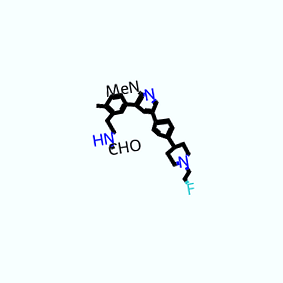 CNc1ncc(-c2ccc(C3CCN(CCF)CC3)cc2)cc1-c1ccc(C)c(CCNC=O)c1